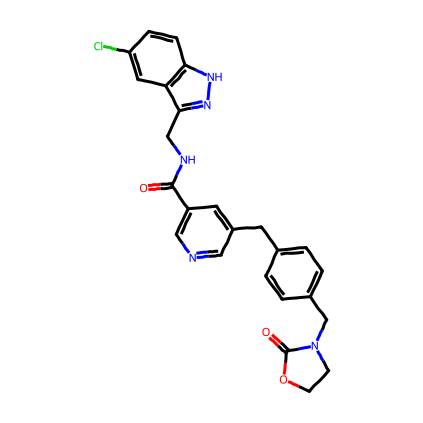 O=C(NCc1n[nH]c2ccc(Cl)cc12)c1cncc(Cc2ccc(CN3CCOC3=O)cc2)c1